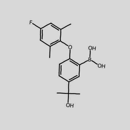 Cc1cc(F)cc(C)c1Oc1ccc(C(C)(C)O)cc1B(O)O